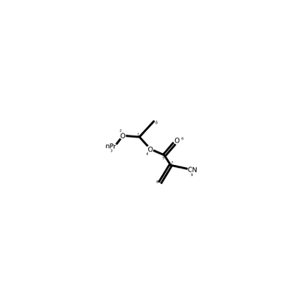 [CH2]C(OCCC)OC(=O)C(=C)C#N